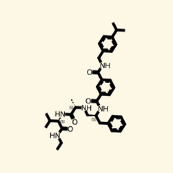 CCNC(=O)[C@@H](NC(=O)[C@H](C)NC[C@H](Cc1ccccc1)NC(=O)c1cccc(C(=O)NCc2ccc(C(C)C)cc2)c1)C(C)C